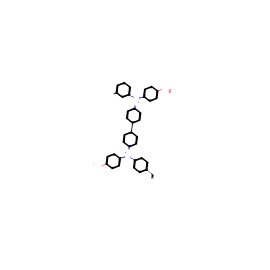 C=Cc1ccc(N(c2ccc(OC)cc2)c2ccc(-c3ccc(N(c4ccc(OC)cc4)c4cccc(C)c4)cc3)cc2)cc1